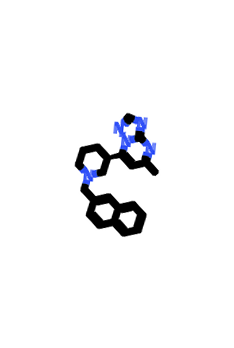 Cc1cc([C@@H]2CCCN(Cc3ccc4ccccc4c3)C2)n2ncnc2n1